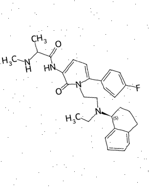 CCN(CCn1c(-c2ccc(F)cc2)ccc(NC(=O)C(C)NC)c1=O)[C@H]1CCCc2ccccc21